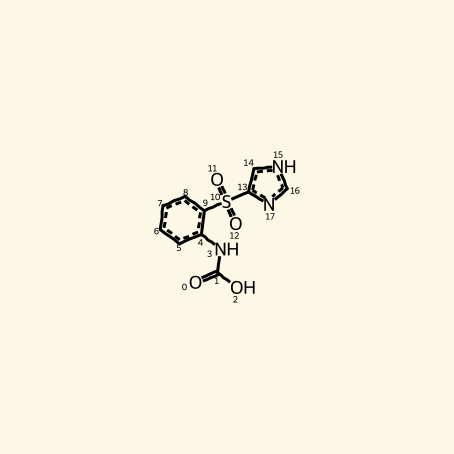 O=C(O)Nc1ccccc1S(=O)(=O)c1c[nH]cn1